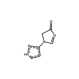 O=C1CN(c2cc[nH]n2)C=N1